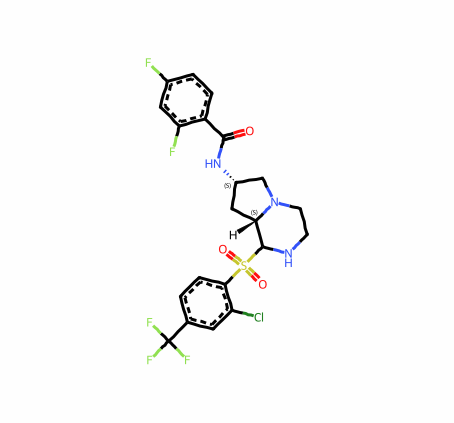 O=C(N[C@H]1C[C@H]2C(S(=O)(=O)c3ccc(C(F)(F)F)cc3Cl)NCCN2C1)c1ccc(F)cc1F